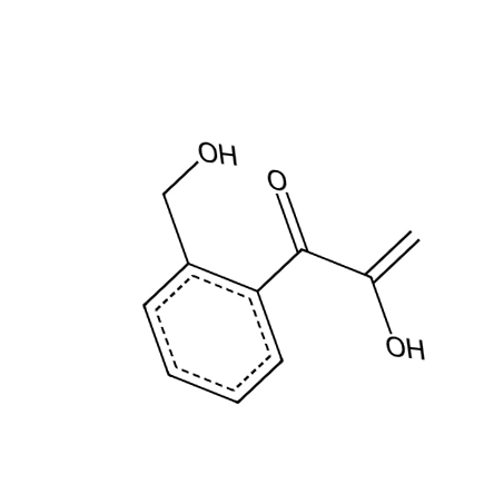 C=C(O)C(=O)c1ccccc1CO